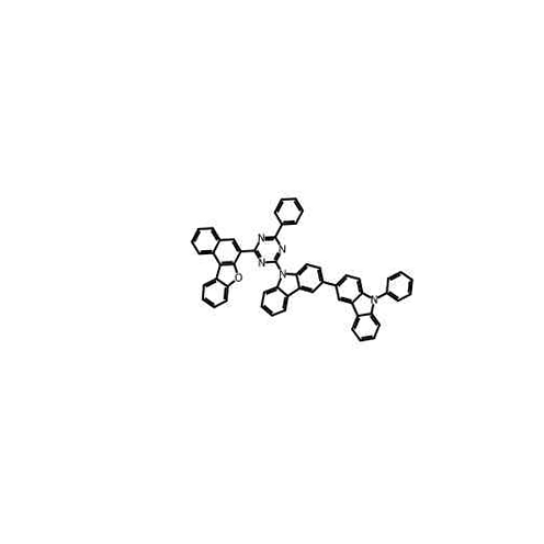 c1ccc(-c2nc(-c3cc4ccccc4c4c3oc3ccccc34)nc(-n3c4ccccc4c4cc(-c5ccc6c(c5)c5ccccc5n6-c5ccccc5)ccc43)n2)cc1